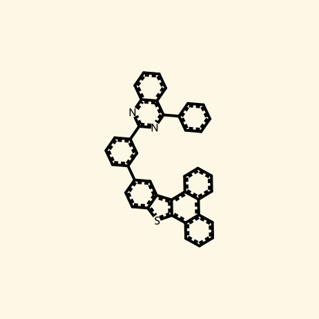 c1ccc(-c2nc(-c3cccc(-c4ccc5sc6c7ccccc7c7ccccc7c6c5c4)c3)nc3ccccc23)cc1